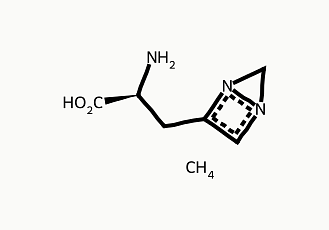 C.N[C@@H](Cc1cn2n1C2)C(=O)O